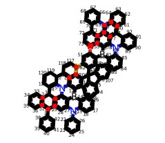 C1=CCC(C2=C(N3c4cc5c(cc4B4c6ccccc6N(c6ccccc6)c6cc(C(c7ccccc7)c7ccccc7)cc3c64)C3(c4cc6c(cc4S5)Oc4cc(N(c5ccccc5)c5ccccc5-c5ccccc5)cc5c4B6c4ccccc4N5c4ccccc4-c4ccccc4)c4ccccc4-c4ccccc43)C(C3=CCCC=C3)CC=C2)C=C1